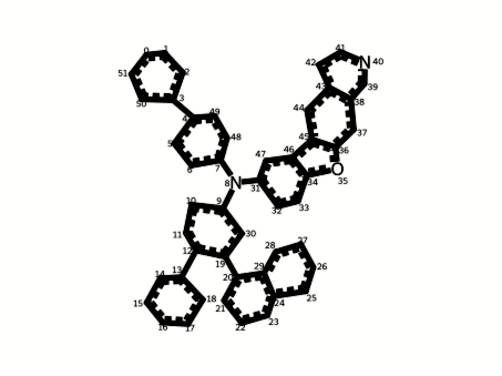 c1ccc(-c2ccc(N(c3ccc(-c4ccccc4)c(-c4cccc5ccccc45)c3)c3ccc4oc5cc6cnccc6cc5c4c3)cc2)cc1